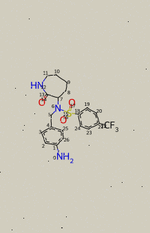 Nc1ccc(CN(C2CCCCNC2=O)S(=O)(=O)c2ccc(C(F)(F)F)cc2)cc1